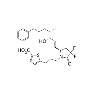 C[C@@H](CCCc1ccccc1)[C@@H](O)C=C[C@H]1CC(F)(F)C(=O)N1CCCc1ccc(C(=O)O)s1